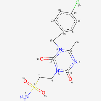 Cc1nc(=O)n(CCS(N)(=O)=O)c(=O)n1Cc1ccc(Cl)cc1